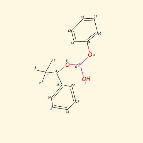 CC(C)(C)C(OP(O)Oc1ccccc1)c1ccccc1